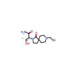 CC(C)CN1CCC2(CC1)CCN([C@H](C(N)=O)[C@@H](C)O)C2=O